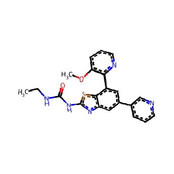 CCNC(=O)Nc1nc2cc(-c3cccnc3)cc(-c3ncccc3OC)c2s1